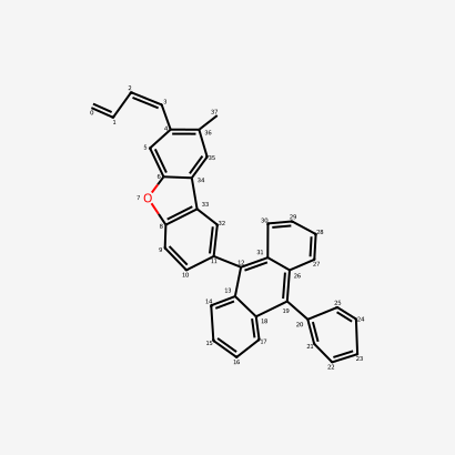 C=C/C=C\c1cc2oc3ccc(-c4c5ccccc5c(-c5ccccc5)c5ccccc45)cc3c2cc1C